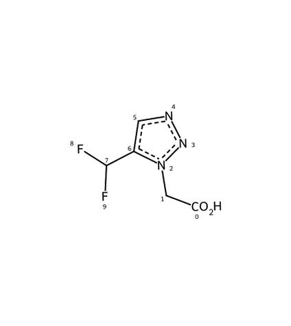 O=C(O)Cn1nncc1C(F)F